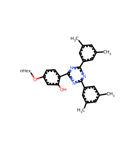 CCCCCCOc1ccc(-c2nc(-c3cc(C)cc(C)c3)nc(-c3cc(C)cc(C)c3)n2)c(O)c1